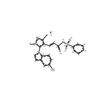 Cc1nn(C)c(-n2ccc3cc(Cl)ccc32)c1/C=C/C(=O)[N-]S(=O)(=O)c1ccccc1.[K+]